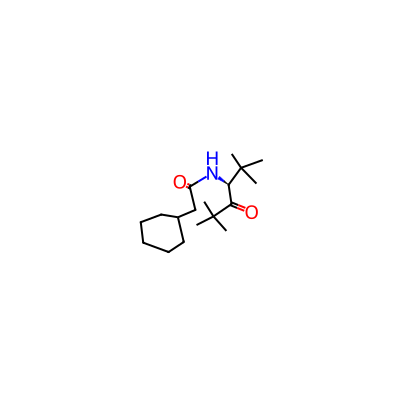 CC(C)(C)C(=O)[C@@H](NC(=O)CC1CCCCC1)C(C)(C)C